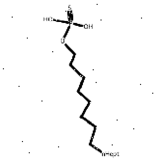 CCCCCCCCCCCCCCCOP(O)(O)=S